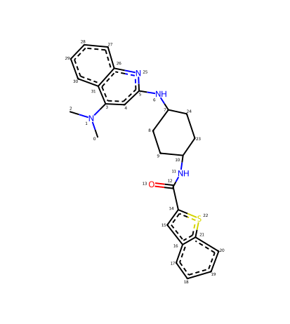 CN(C)c1cc(NC2CCC(NC(=O)c3cc4ccccc4s3)CC2)nc2ccccc12